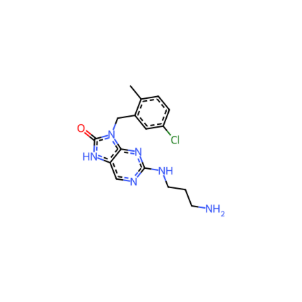 Cc1ccc(Cl)cc1Cn1c(=O)[nH]c2cnc(NCCCN)nc21